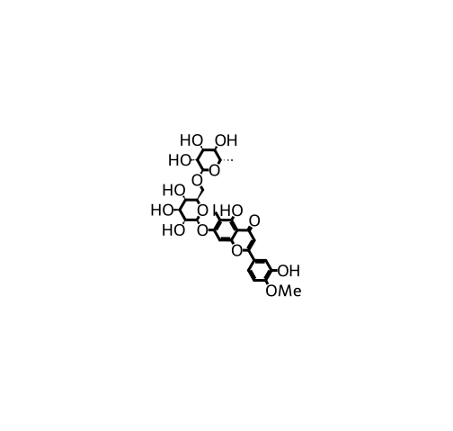 COc1ccc(-c2cc(=O)c3c(O)c(I)c(O[C@@H]4O[C@H](CO[C@@H]5O[C@@H](C)[C@H](O)[C@@H](O)[C@H]5O)[C@@H](O)[C@H](O)[C@H]4O)cc3o2)cc1O